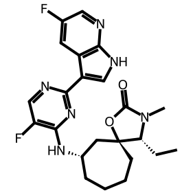 CC[C@H]1N(C)C(=O)O[C@]12CCCC[C@H](Nc1nc(-c3c[nH]c4ncc(F)cc34)ncc1F)C2